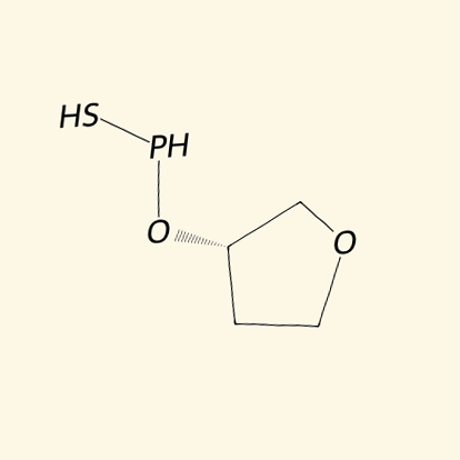 SPO[C@H]1CCOC1